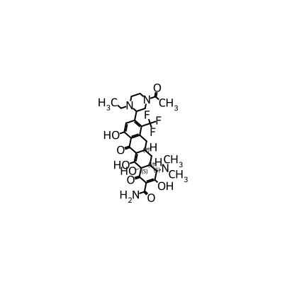 CCN1CCN(C(C)=O)CC1c1cc(O)c2c(c1C(F)(F)F)C[C@H]1C[C@H]3[C@H](N(C)C)C(O)=C(C(N)=O)C(=O)[C@@]3(O)C(O)=C1C2=O